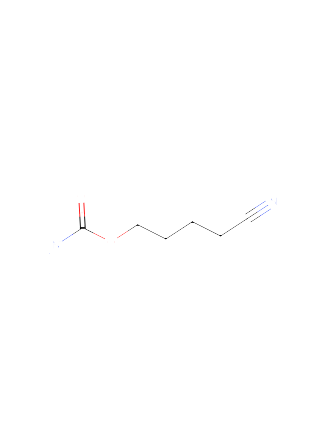 N#CCCCCOC(N)=O